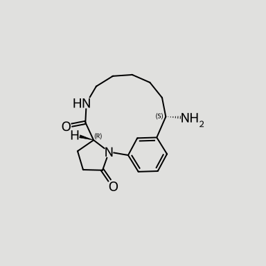 N[C@H]1CCCCCNC(=O)[C@H]2CCC(=O)N2c2cccc1c2